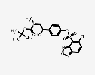 CN(CC(O)c1ccc(OS(=O)(=O)c2c(Cl)ccc3nonc23)cc1)C(=O)OC(C)(C)C